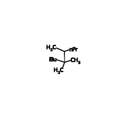 CCCC(C)C(C)(C)C(C)CC